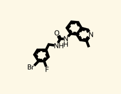 Cc1cc2c(NC(=O)NCc3ccc(Br)c(F)c3)cccc2cn1